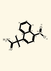 CC(C)(C(N)=O)c1ccc([N+](=O)[O-])c2ccccc12